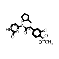 CS(=O)(=O)c1ccc([C@@H](CC2CCCC2)C(=O)Nc2cc[nH]c(=O)n2)cc1Cl